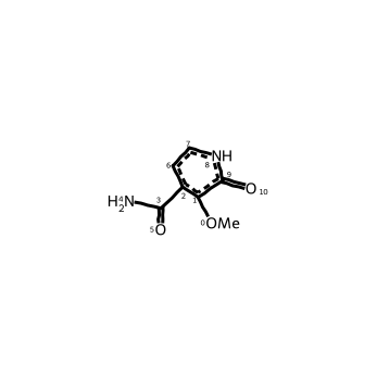 COc1c(C(N)=O)cc[nH]c1=O